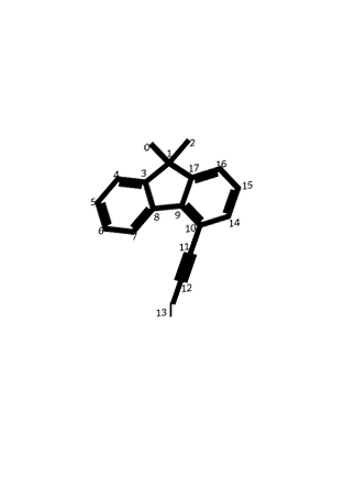 CC1(C)c2ccccc2-c2c(C#CI)cccc21